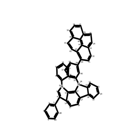 c1ccc(-c2cn(-c3ccccc3)c3c2ccc2c4ccccc4n(-c4cccc(-c5ccc6ccc7cccc8ccc5c6c78)c4)c23)cc1